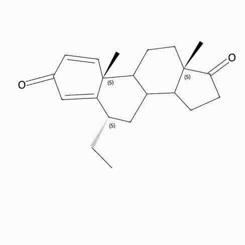 CC[C@H]1CC2C(CC[C@]3(C)C(=O)CCC23)[C@@]2(C)C=CC(=O)C=C12